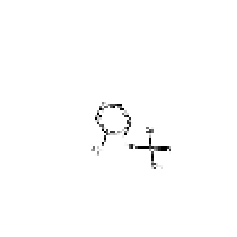 Nc1ccccc1.OP(O)(O)=S